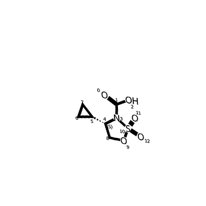 O=C(O)N1[C@@H](C2CC2)COS1(=O)=O